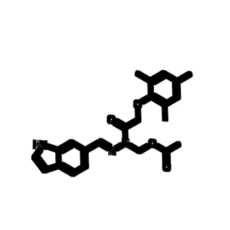 CC(=O)OCN(N=Cc1ccc2cc[nH]c2c1)C(=O)COc1c(C)cc(C)cc1C